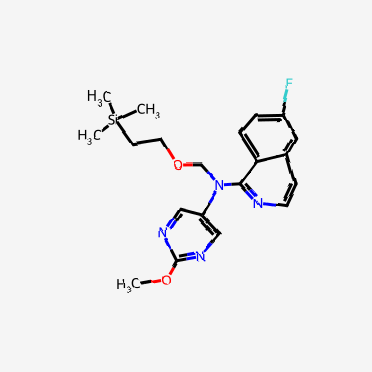 COc1ncc(N(COCC[Si](C)(C)C)c2nccc3cc(F)ccc23)cn1